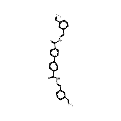 C=Cc1cccc(/C=N/NC(=O)c2ccc(-c3ccc(C(=O)N/N=C/c4cccc(C=C)c4)cc3)cc2)c1